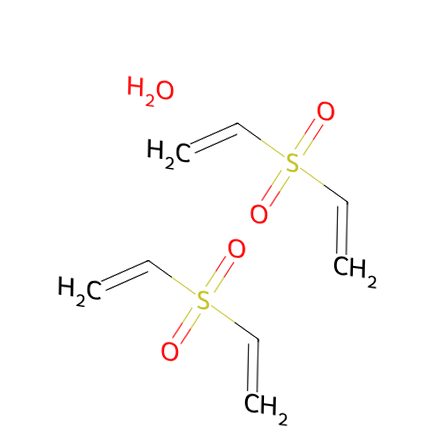 C=CS(=O)(=O)C=C.C=CS(=O)(=O)C=C.O